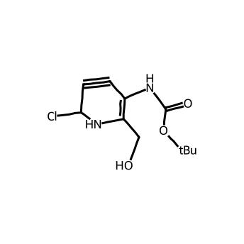 CC(C)(C)OC(=O)NC1=C(CO)NC(Cl)C#C1